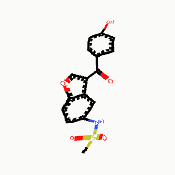 CS(=O)(=O)Nc1ccc2occ(C(=O)c3ccc(O)cc3)c2c1